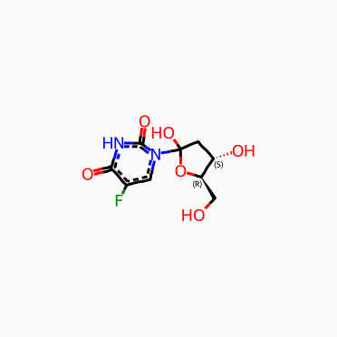 O=c1[nH]c(=O)n(C2(O)C[C@H](O)[C@@H](CO)O2)cc1F